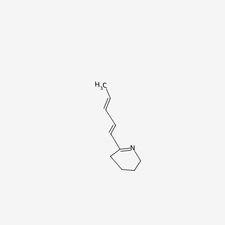 C/C=C/C=C/C1=NCCCC1